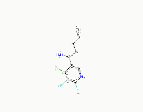 C=CCCC(N)c1cnc(F)c(F)c1Cl